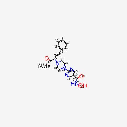 CNC(=O)C(/C=C/c1ccccc1)N1CCN(c2ncc(C(=O)NO)cn2)CC1